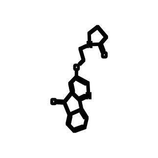 O=C1c2ccccc2-c2ncc(OCCN3CCCC3=O)cc21